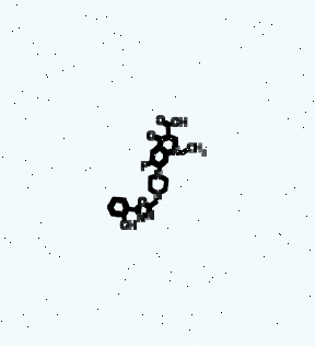 CCn1cc(C(=O)O)c(=O)c2cc(F)c(N3CCN(Cc4nnc(-c5ccccc5O)o4)CC3)cc21